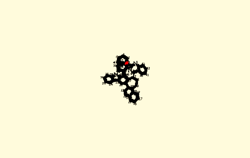 c1ccc(-c2nc([C@H]3CCc4c(ccc5ccccc45)-c4cc5c6ccccc6n6c7ccccc7c(c43)c56)c3ccccc3n2)cc1